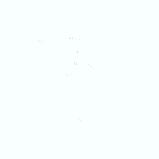 COC(=O)C[C@H]1C(=O)N(CC(=O)OC(=O)C(F)(F)F)CCN1C(=O)C(Cc1ccc(OC)cc1)NC(=O)c1ccc(-c2ccncc2)cc1